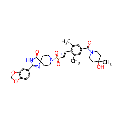 Cc1cc(C(=O)N2CCC(C)(O)CC2)cc(C)c1/C=C/S(=O)(=O)N1CCC2(CC1)N=C(c1ccc3c(c1)OCO3)NC2=O